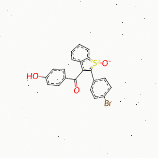 O=C(c1ccc(O)cc1)c1c(-c2ccc(Br)cc2)[s+]([O-])c2ccccc12